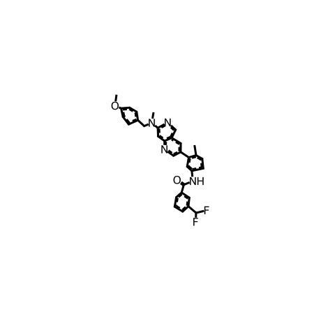 COc1ccc(CN(C)c2cc3ncc(-c4cc(NC(=O)c5cccc(C(F)F)c5)ccc4C)cc3cn2)cc1